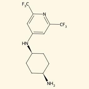 N[C@H]1CC[C@@H](Nc2cc(C(F)(F)F)nc(C(F)(F)F)c2)CC1